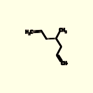 [CH]=CCC(C)CC=C